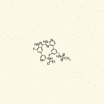 CCC(=O)Nc1cncc(-c2cc(F)c3[nH]nc(-c4nc5c(-c6cc(F)cc(CNS(C)(=O)=O)c6)ccnc5[nH]4)c3c2)c1